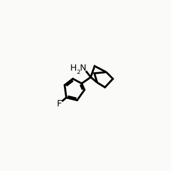 NC1(c2ccc(F)cc2)CC2CCC1C2